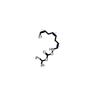 CC/C=C\C/C=C\C/C=C\NOC(=O)OC(C(C)C)C(C)C